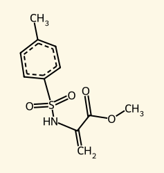 C=C(NS(=O)(=O)c1ccc(C)cc1)C(=O)OC